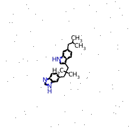 CC(C)Cc1ccc2c(CC(C)(C)Cc3ccc4nc[nH]c4c3)c[nH]c2c1